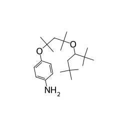 CC(C)(C)CC(OC(C)(C)CC(C)(C)Oc1ccc(N)cc1)C(C)(C)C